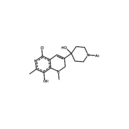 CC(=O)N1CCC(O)(C2=Cc3c(Cl)nc(C)c(O)c3N(C)C2)CC1